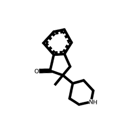 CC1(C2CCNCC2)Cc2ccccc2C1=O